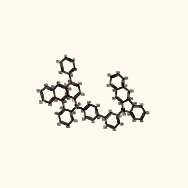 c1ccc(-c2ccc(N(c3ccc(-c4cccc(-n5c6ccccc6c6cc7ccccc7cc65)c4)cc3)c3ccccc3-c3cccc4ccccc34)cc2)cc1